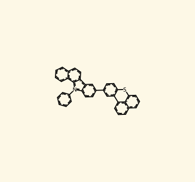 c1ccc(-n2c3ccc(-c4ccc5c(c4)-c4cccc6cccc(c46)S5)cc3c3ccc4ccccc4c32)cc1